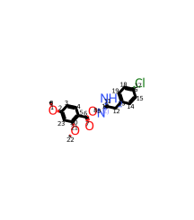 COc1ccc(C(=O)O/N=C(\N)Cc2ccc(Cl)cc2)c(OC)c1